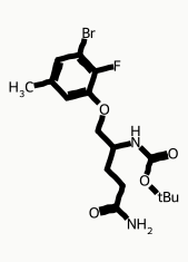 Cc1cc(Br)c(F)c(OCC(CCC(N)=O)NC(=O)OC(C)(C)C)c1